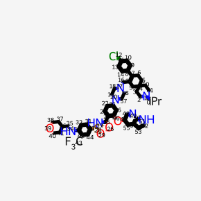 CC(C)N1CCC2(CCC(c3ccc(Cl)cc3)=C(CN3CCN(c4ccc(C(=O)N[S+]([O-])c5ccc(NCC6CCOCC6)c(C(F)(F)F)c5)c(Oc5cnc6[nH]ccc6c5)c4)CC3)C2)CC1